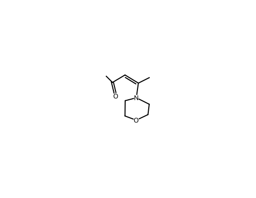 CC(=O)/C=C(/C)N1CCOCC1